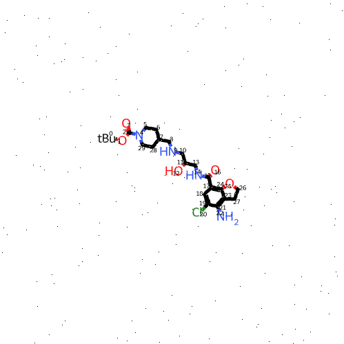 CC(C)(C)OC(=O)N1CCC(CNCC(O)CNC(=O)c2cc(Cl)c(N)c3c2OCC3)CC1